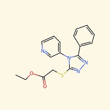 CCOC(=O)CSc1nnc(-c2ccccc2)n1-c1cccnc1